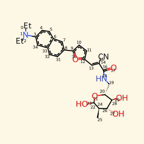 CCN(CC)c1ccc2cc(-c3ccc(/C=C(\C#N)C(=O)NC[C@H]4OC(O)[C@H](C)[C@@H](O)[C@@H]4O)o3)ccc2c1